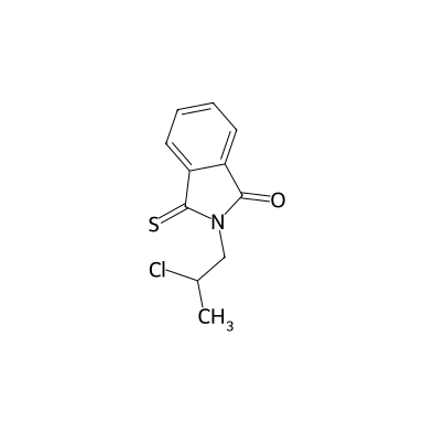 CC(Cl)CN1C(=O)c2ccccc2C1=S